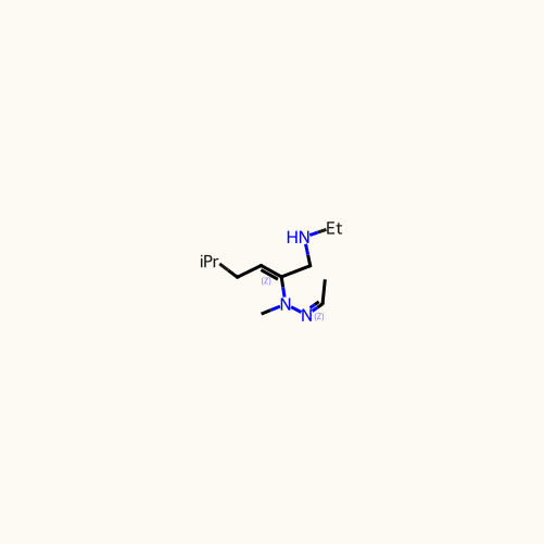 C/C=N\N(C)/C(=C\CC(C)C)CNCC